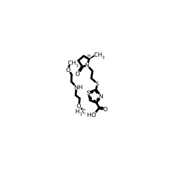 COCCNCCOC.C[C@@H]1CCC(=O)N1CCSc1nc(C(=O)O)cs1